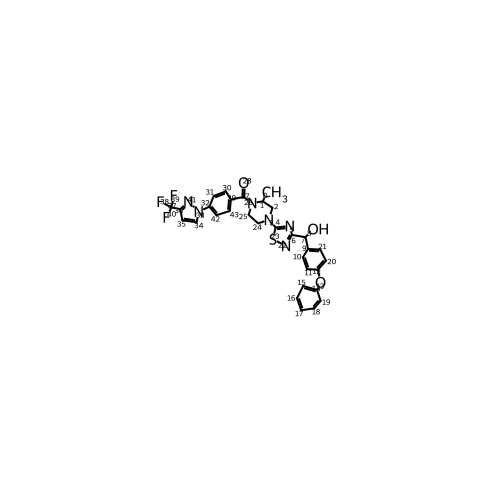 CC1CN(c2nc(C(O)c3ccc(Oc4ccccc4)cc3)ns2)CCN1C(=O)c1ccc(-n2ccc(C(F)(F)F)n2)cc1